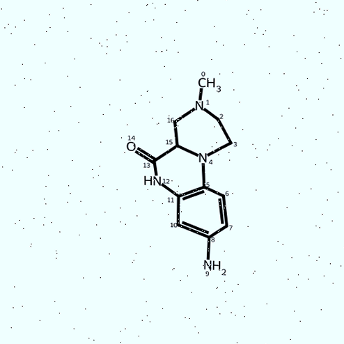 CN1CCN2c3ccc(N)cc3NC(=O)C2C1